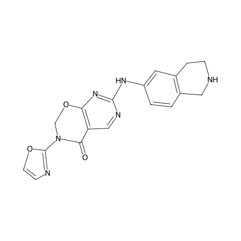 O=C1c2cnc(Nc3ccc4c(c3)CCNC4)nc2OCN1c1ncco1